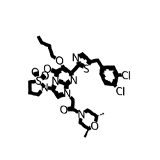 CCCCOc1c(-c2ncc(Cc3ccc(Cl)c(Cl)c3)s2)nc2n(CC(=O)N3C[C@H](C)O[C@@H](C)C3)cc(N3CCCS3(=O)=O)n2c1=O